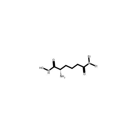 CCN(CC)C(=O)CCC[C@H](N)C(=O)NO